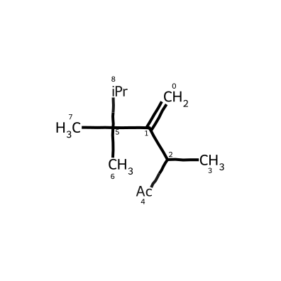 C=C(C(C)C(C)=O)C(C)(C)C(C)C